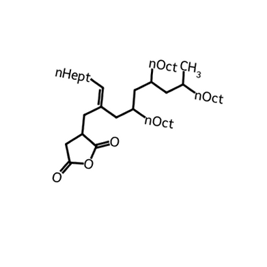 CCCCCCC/C=C(/CC(CCCCCCCC)CC(CCCCCCCC)CC(C)CCCCCCCC)CC1CC(=O)OC1=O